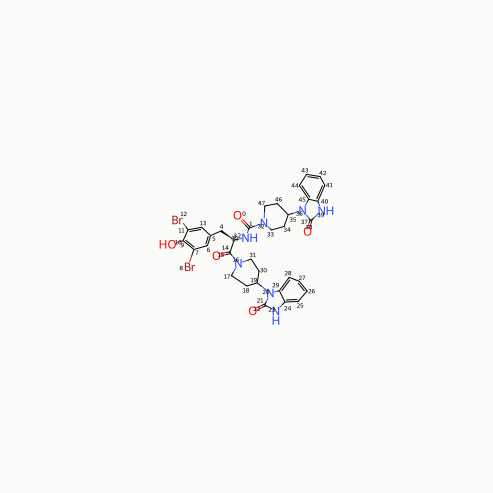 O=C(N[C@H](Cc1cc(Br)c(O)c(Br)c1)C(=O)N1CCC(n2c(=O)[nH]c3ccccc32)CC1)N1CCC(n2c(=O)[nH]c3ccccc32)CC1